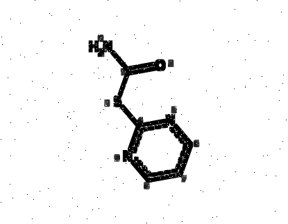 NC(=O)Sc1ncccn1